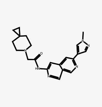 Cn1cc(-c2cc3cc(NC(=O)CN4CCC5(CC4)CC5)ncc3cn2)cn1